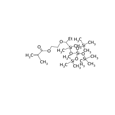 C=C(C)C(=O)OCCOC(CC)[Si](C)(C)O[Si](O[Si](C)(C)C)(O[Si](C)(C)C)O[Si](C)(C)C